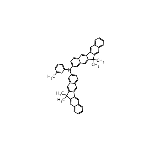 Cc1cccc(N(c2ccc3cc4c(cc3c2)C(C)(C)c2cc3ccccc3cc2-4)c2ccc3cc4c(cc3c2)C(C)(C)c2cc3ccccc3cc2-4)c1